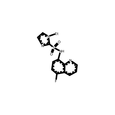 CCn1ccnc1S(=O)(=O)Nc1ccc(F)c2cccnc12